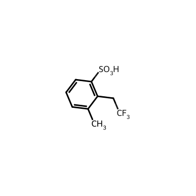 Cc1cccc(S(=O)(=O)O)c1CC(F)(F)F